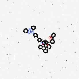 c1ccc2c(c1)-c1ccccc1C21c2ccccc2-c2cccc(N(c3ccc(-c4ccc(-n5c6ccccc6n6c7ccccc7nc56)cc4)cc3)c3ccc(-c4cccc5c4oc4ccccc45)cc3)c21